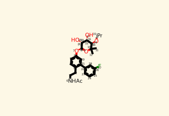 CC(=O)NCCc1ccc(O[C@@H]2OC(C)(C)[C@H](OC(C)C)[C@@H](O)[C@H]2O)cc1-c1cccc(F)c1